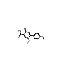 CCn1cc(C(=O)O)c(=O)cc1-c1ccc(SC)cc1